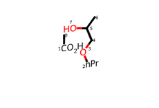 CC(=O)O.CCCOCC(C)O